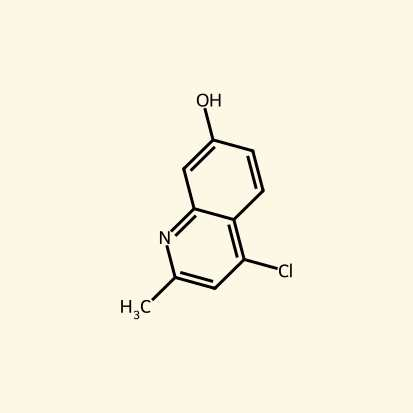 Cc1cc(Cl)c2ccc(O)cc2n1